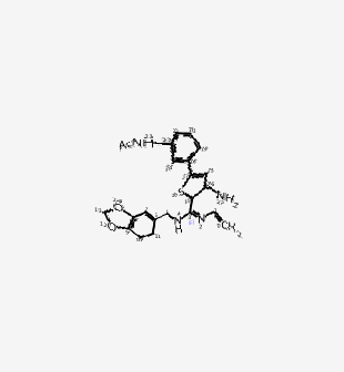 C=C/N=C(/NCC1=CC2=C(CC1)OCO2)C1SC(c2cccc(NC(C)=O)c2)=CC1N